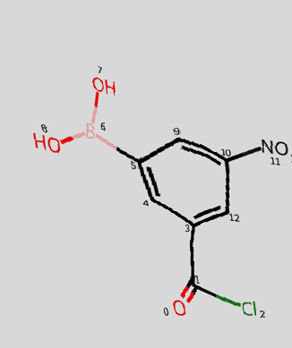 O=C(Cl)c1cc(B(O)O)cc([N+](=O)[O-])c1